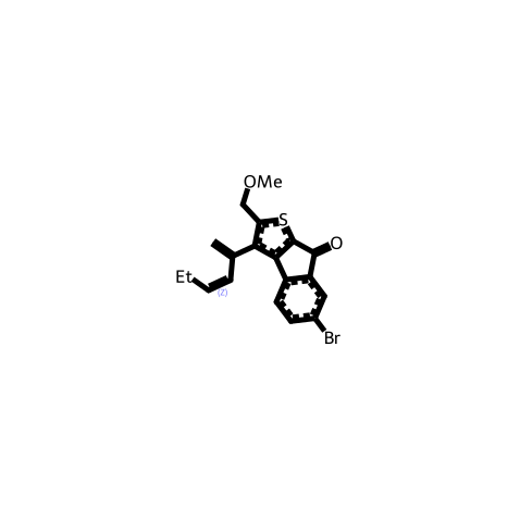 C=C(/C=C\CC)c1c(COC)sc2c1-c1ccc(Br)cc1C2=O